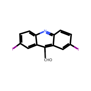 O=Cc1c2cc(I)ccc2nc2ccc(I)cc12